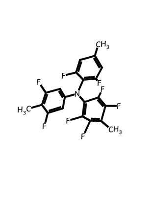 Cc1cc(F)c(N(c2cc(F)c(C)c(F)c2)c2c(F)c(F)c(C)c(F)c2F)c(F)c1